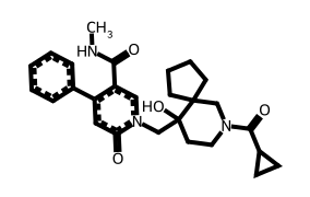 CNC(=O)c1cn(CC2(O)CCN(C(=O)C3CC3)CC23CCCC3)c(=O)cc1-c1ccccc1